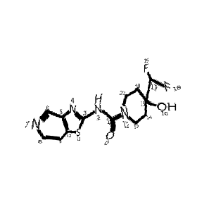 O=C(Nc1nc2cnccc2s1)N1CCC(O)(C(F)F)CC1